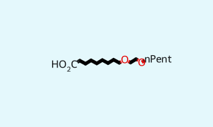 CCCCCOCCOCCCCCCCCC(=O)O